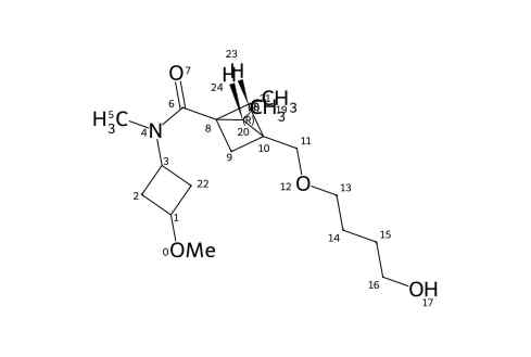 COC1CC(N(C)C(=O)C23CC(COCCCCO)([C@H]2C)[C@H]3C)C1